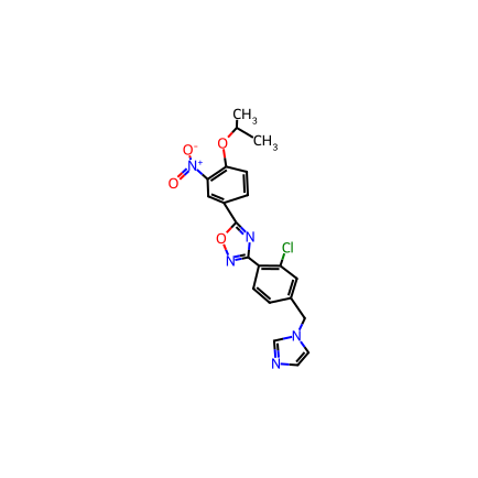 CC(C)Oc1ccc(-c2nc(-c3ccc(Cn4ccnc4)cc3Cl)no2)cc1[N+](=O)[O-]